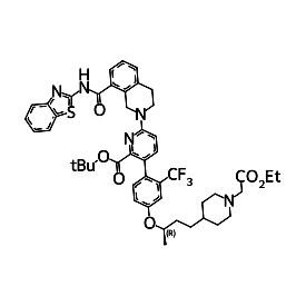 CCOC(=O)CN1CCC(CC[C@@H](C)Oc2ccc(-c3ccc(N4CCc5cccc(C(=O)Nc6nc7ccccc7s6)c5C4)nc3C(=O)OC(C)(C)C)c(C(F)(F)F)c2)CC1